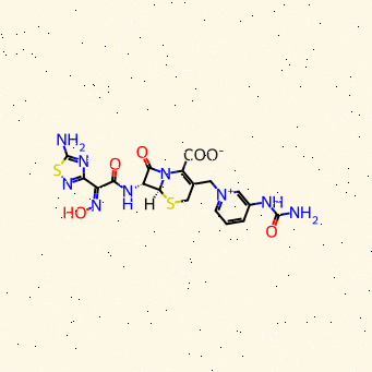 NC(=O)Nc1ccc[n+](CC2=C(C(=O)[O-])N3C(=O)[C@@H](NC(=O)C(=NO)c4nsc(N)n4)[C@@H]3SC2)c1